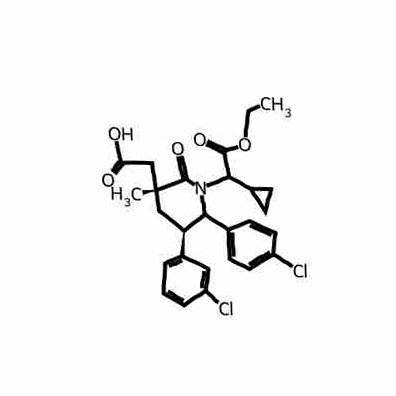 CCOC(=O)C(C1CC1)N1C(=O)[C@@](C)(CC(=O)O)C[C@H](c2cccc(Cl)c2)C1c1ccc(Cl)cc1